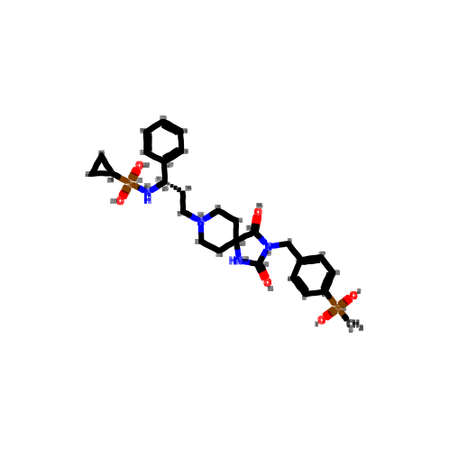 CS(=O)(=O)c1ccc(CN2C(=O)NC3(CCN(CC[C@H](NS(=O)(=O)C4CC4)c4ccccc4)CC3)C2=O)cc1